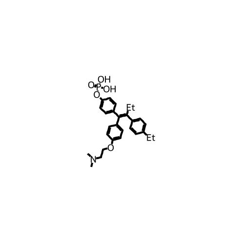 CCC(=C(c1ccc(OCCN(C)C)cc1)c1ccc(OP(=O)(O)O)cc1)c1ccc(CC)cc1